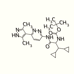 Cc1n[nH]c(C)c1-c1ccc(NC(=O)C(NC(=O)OC(C)(C)C)C(C2CC2)C2CC2)nn1